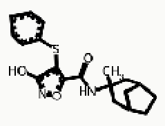 CC1(NC(=O)c2onc(O)c2Sc2ccccc2)CC2CCC(C2)C1